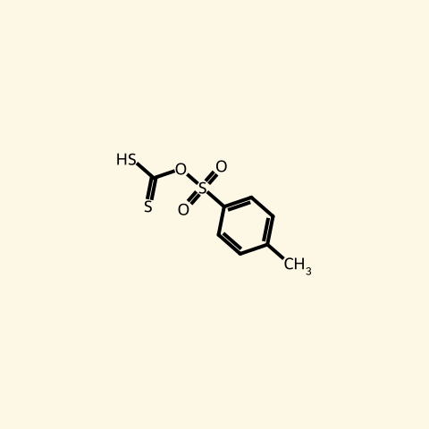 Cc1ccc(S(=O)(=O)OC(=S)S)cc1